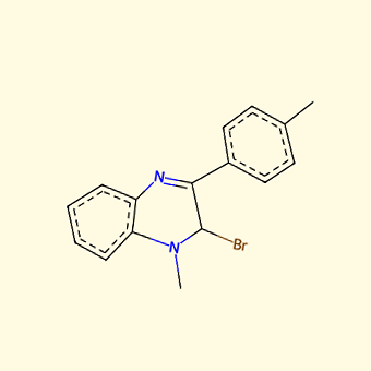 Cc1ccc(C2=Nc3ccccc3N(C)C2Br)cc1